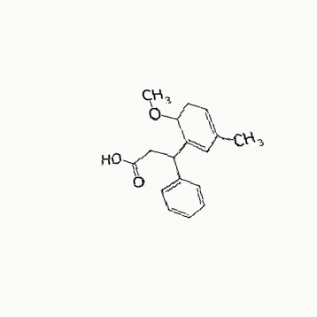 COC1CC=C(C)C=C1C(CC(=O)O)c1ccccc1